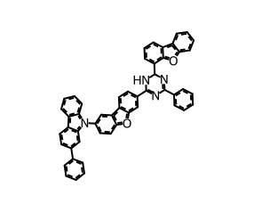 c1ccc(C2=NC(c3cccc4c3oc3ccccc34)NC(c3ccc4c(c3)oc3ccc(-n5c6ccccc6c6ccc(-c7ccccc7)cc65)cc34)=N2)cc1